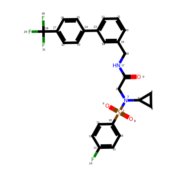 O=C(CN(C1CC1)S(=O)(=O)c1ccc(F)cc1)NCc1cccc(-c2ccc(C(F)(F)F)cc2)c1